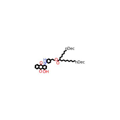 CCCCCCCCCCCCCCCCCCC(CCCCCCCCCCCCCCCC)C(=O)OCCc1ccc(Nc2ccc(O)c3c2C(=O)c2ccccc2C3=O)cc1